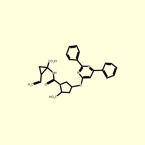 C=CC1CC1(NC(=O)C1CC(Oc2cc(-c3ccccc3)nc(-c3ccccc3)n2)CC1C(=O)O)C(=O)OCC